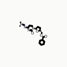 CN(C)/C=N/c1ccn([C@H]2C=C[C@@H](COC(=O)c3ccccc3)O2)c(=O)n1